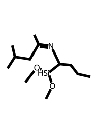 CCCC(N=C(C)CC(C)C)[SiH](OC)OC